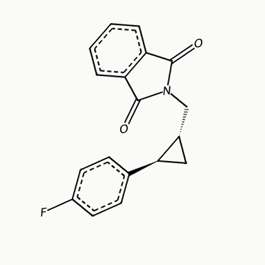 O=C1c2ccccc2C(=O)N1C[C@@H]1C[C@H]1c1ccc(F)cc1